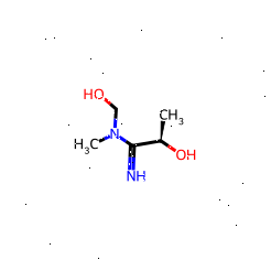 C[C@@H](O)C(=N)N(C)CO